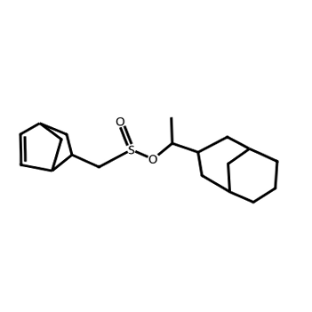 CC(OS(=O)CC1CC2C=CC1C2)C1CC2CCCC(C2)C1